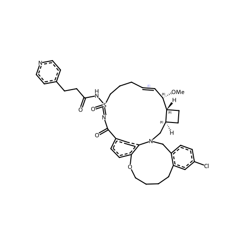 CO[C@H]1/C=C/CCCS(=O)(NC(=O)CCc2ccncc2)=NC(=O)c2ccc3c(c2)N(Cc2ccc(Cl)cc2CCCCO3)C[C@@H]2CC[C@H]21